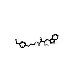 NCc1ccc(CCCONC(=O)[C@H](N)Cc2c[nH]c3ccccc23)cc1